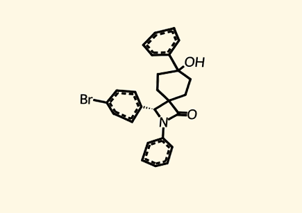 O=C1N(c2ccccc2)[C@H](c2ccc(Br)cc2)C12CCC(O)(c1ccccc1)CC2